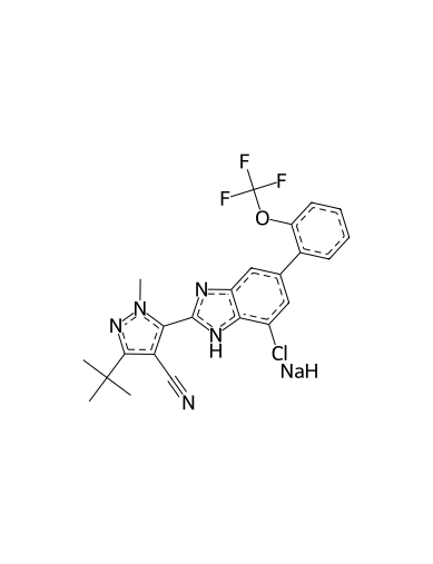 Cn1nc(C(C)(C)C)c(C#N)c1-c1nc2cc(-c3ccccc3OC(F)(F)F)cc(Cl)c2[nH]1.[NaH]